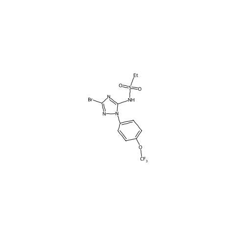 CCS(=O)(=O)Nc1nc(Br)nn1-c1ccc(OC(F)(F)F)cc1